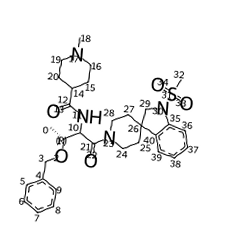 C[C@@H](OCc1ccccc1)C(NC(=O)C1CCN(C)CC1)C(=O)N1CCC2(CC1)CN(S(C)(=O)=O)c1ccccc12